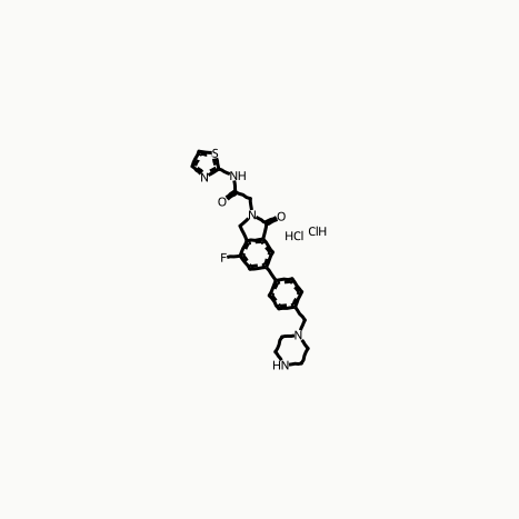 Cl.Cl.O=C(CN1Cc2c(F)cc(-c3ccc(CN4CCNCC4)cc3)cc2C1=O)Nc1nccs1